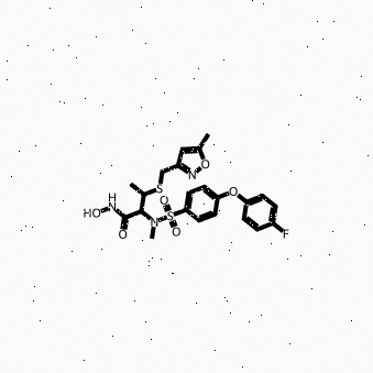 Cc1cc(CSC(C)C(C(=O)NO)N(C)S(=O)(=O)c2ccc(Oc3ccc(F)cc3)cc2)no1